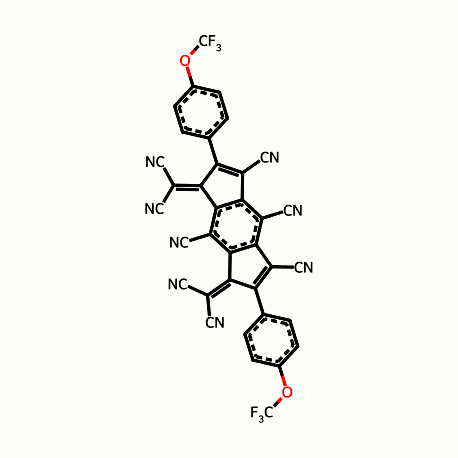 N#CC(C#N)=C1C(c2ccc(OC(F)(F)F)cc2)=C(C#N)c2c(C#N)c3c(c(C#N)c21)C(=C(C#N)C#N)C(c1ccc(OC(F)(F)F)cc1)=C3C#N